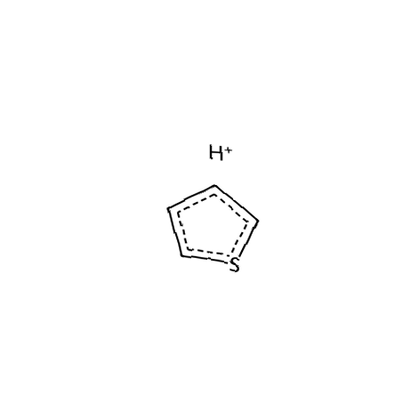 [H+].c1ccsc1